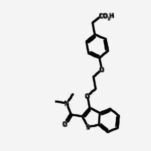 CN(C)C(=O)c1sc2ccccc2c1OCCOc1ccc(CC(=O)O)cc1